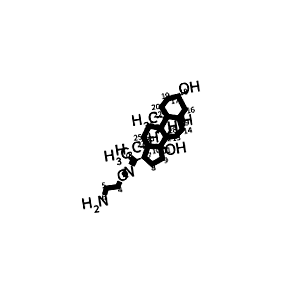 C/C(=N\OCCN)[C@H]1CC[C@]2(O)[C@@H]3CC[C@@H]4C[C@@H](O)CC[C@]4(C)[C@H]3CC[C@]12C